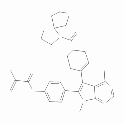 C=C(C)C(=O)Nc1ccc(-c2c(C3=CC[C@@H](C(=O)N4CCC[C@@]45CCOC5)CC3)c3c(N)ncnc3n2C)cc1